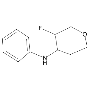 FC1[CH]OCCC1Nc1ccccc1